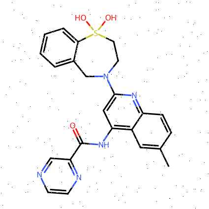 Cc1ccc2nc(N3CCS(O)(O)c4ccccc4C3)cc(NC(=O)c3cnccn3)c2c1